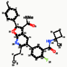 CNC(=O)c1c(-c2ccc(C)cc2)oc2nc(CCC(F)(F)F)c(-c3ccc(F)c(C(=O)NC4(C#N)CCC4)c3)cc12